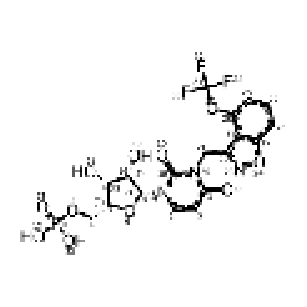 O=c1ccn([C@@H]2O[C@H](COP(=O)(O)O)[C@H](O)[C@@H]2O)c(=O)n1Cc1noc2cccc(OC(F)(F)F)c12